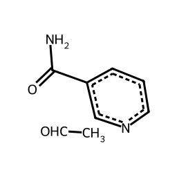 CC=O.NC(=O)c1cccnc1